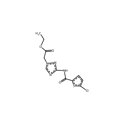 CCOC(=O)Cn1cnc(NC(=O)c2ccc(Cl)s2)n1